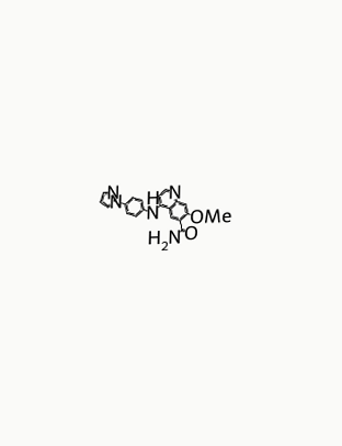 COc1cc2nccc(Nc3ccc(-n4cccn4)cc3)c2cc1C(N)=O